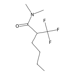 CCCCC(C(=O)N(C)C)C(F)(F)F